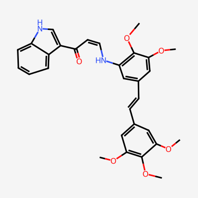 COc1cc(C=Cc2cc(OC)c(OC)c(OC)c2)cc(N/C=C\C(=O)c2c[nH]c3ccccc23)c1OC